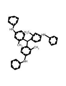 Cc1cc(Nc2ccccc2)ccc1C(c1ccc(Nc2ccccc2)cc1C)c1ccc(Nc2ccccc2)cc1C